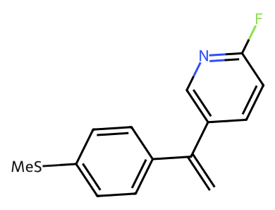 C=C(c1ccc(SC)cc1)c1ccc(F)nc1